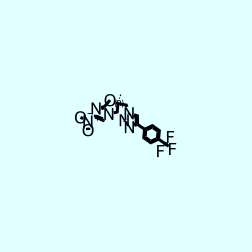 C[C@]1(Cn2cc(-c3ccc(C(F)(F)F)cc3)nn2)Cn2cc([N+](=O)[O-])nc2O1